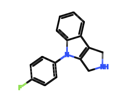 Fc1ccc(-n2c3c(c4ccccc42)CNC3)cc1